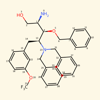 N[C@H](CO)[C@@H](OCc1ccccc1)[C@H](Cc1cccc(OC(F)(F)F)c1)N(Cc1ccccc1)Cc1ccccc1